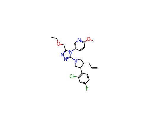 C=CC[C@H]1CN(c2nnc(COCC)n2-c2ccc(OC)nc2)C[C@@H]1c1ccc(F)cc1Cl